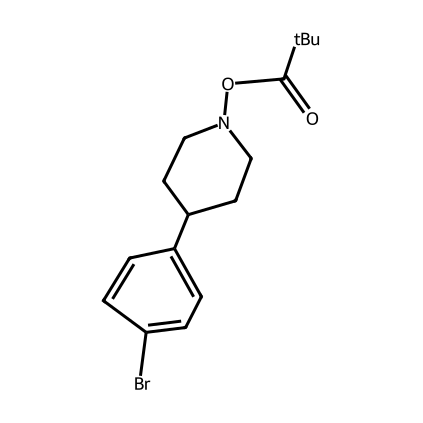 CC(C)(C)C(=O)ON1CCC(c2ccc(Br)cc2)CC1